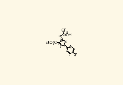 CCOC(=O)c1cc(-c2ccc(F)cn2)nn1CC(O)C(F)(F)F